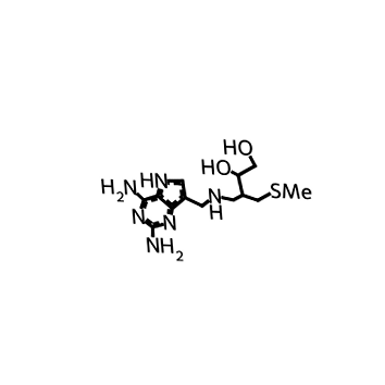 CSCC(CNCc1c[nH]c2c(N)nc(N)nc12)C(O)CO